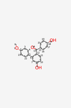 COc1ccc(-c2cc(O)ccc2C(=O)c2ccc(O)cc2)cc1